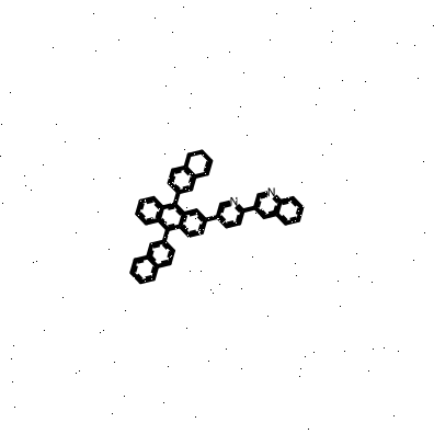 C1=Cc2cc(-c3c4ccccc4c(-c4ccc5ccccc5c4)c4ccc(-c5ccc(-c6cnc7ccccc7c6)nc5)cc34)ccc2CC1